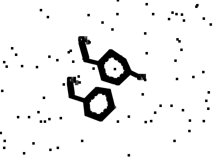 C=Cc1cc[c]cc1.C=Cc1ccc(C#N)cc1